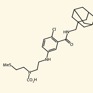 CSCCN(CCNc1ccc(Cl)c(C(=O)NCC23CC4CC(CC(C4)C2)C3)c1)C(=O)O